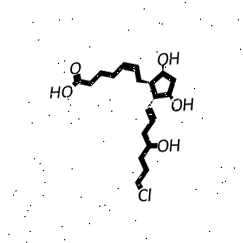 O=C(O)CCC/C=C\C[C@@H]1[C@@H](/C=C/CC(O)CCCCl)[C@H](O)C[C@H]1O